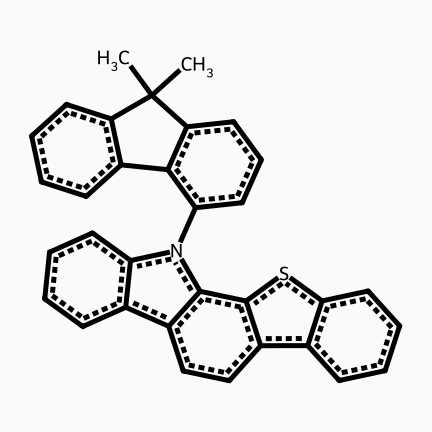 CC1(C)c2ccccc2-c2c(-n3c4ccccc4c4ccc5c6ccccc6sc5c43)cccc21